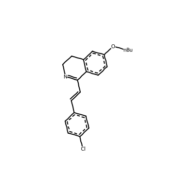 CCCCOc1ccc2c(c1)CCN=C2/C=C/c1ccc(Cl)cc1